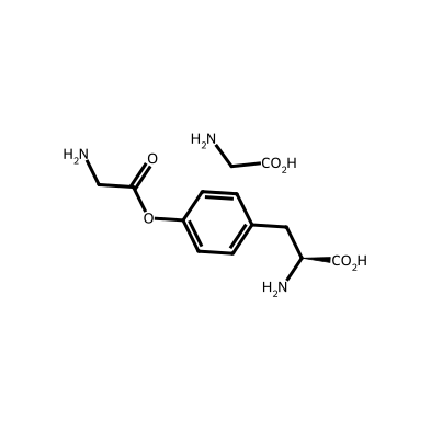 NCC(=O)O.NCC(=O)Oc1ccc(C[C@H](N)C(=O)O)cc1